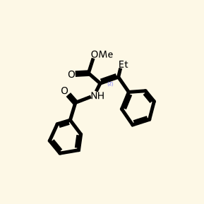 CC/C(=C(/NC(=O)c1ccccc1)C(=O)OC)c1ccccc1